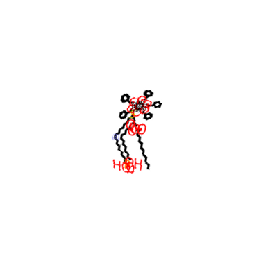 CCCCCCCCCCCC(=O)OCC(CC(CCCCCC/C=C\CCCCCCCCP(=O)(O)O)SO[C@@H]1[C@@H](OCc2ccccc2)[C@H](OCc2ccccc2)[C@@H](OCc2ccccc2)[C@H](OCc2ccccc2)[C@@H]1OCc1ccccc1)OC(=O)CCCCCCCCCCC